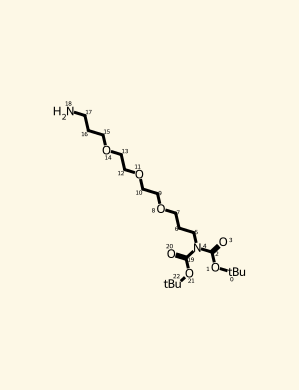 CC(C)(C)OC(=O)N(CCCOCCOCCOCCCN)C(=O)OC(C)(C)C